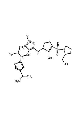 CC(C)c1coc([C@H](Nc2n[s+]([O-])nc2NC2CSC(S(=O)(=O)N3CCCC3CO)=C2O)C(C)C)c1